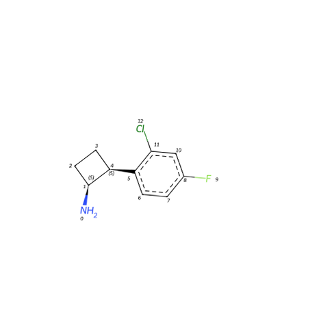 N[C@H]1CC[C@H]1c1ccc(F)cc1Cl